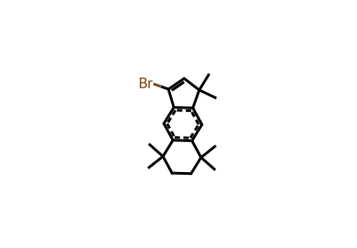 CC1(C)C=C(Br)c2cc3c(cc21)C(C)(C)CCC3(C)C